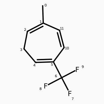 CC1=CCC=C(C(F)(F)F)C=C1